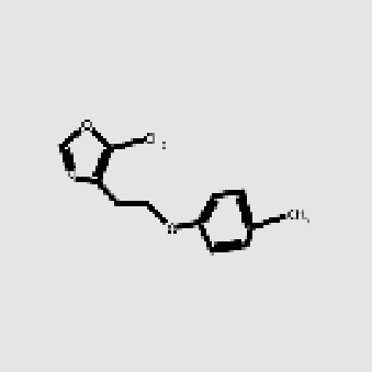 Cc1ccc(OCCc2ncoc2C)cc1